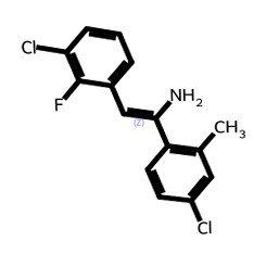 Cc1cc(Cl)ccc1/C(N)=C/c1cccc(Cl)c1F